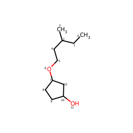 CCC(C)CCOC1CCC(O)C1